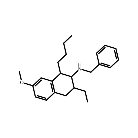 CCCCC1c2cc(OC)ccc2CC(CC)C1NCc1ccccc1